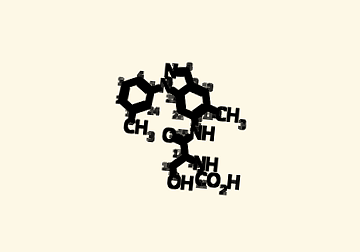 Cc1cccc(-n2ncc3cc(C)c(NC(=O)C(CO)NC(=O)O)cc32)c1